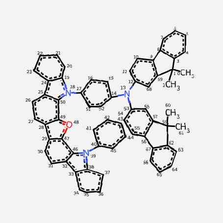 CC1(C)c2ccccc2-c2ccc(N(c3ccc(-n4c5ccccc5c5ccc6c7ccc8c9ccccc9n(-c9ccccc9)c8c7oc6c54)cc3)c3ccc4c(c3)C(C)(C)c3ccccc3-4)cc21